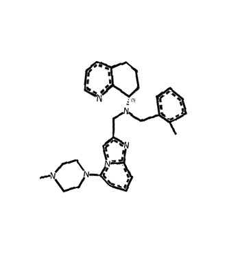 Cc1ccccc1CN(Cc1cn2c(N3CCN(C)CC3)cccc2n1)[C@H]1CCCc2cccnc21